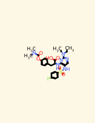 CCN(CC)c1ncc(NS(=O)(=O)c2ccc(F)cc2)c(NC(Cc2ccc(OC(=O)N(C)C)cc2)C(=O)O)n1